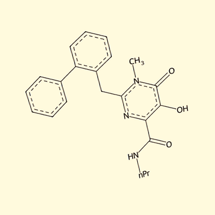 CCCNC(=O)c1nc(Cc2ccccc2-c2ccccc2)n(C)c(=O)c1O